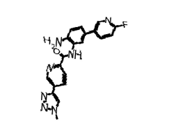 Cn1cc(-c2ccc(C(=O)Nc3cc(-c4ccc(F)nc4)ccc3N)nc2)nn1